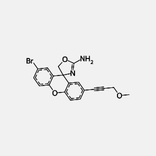 COCC#Cc1ccc2c(c1)C1(COC(N)=N1)c1cc(Br)ccc1O2